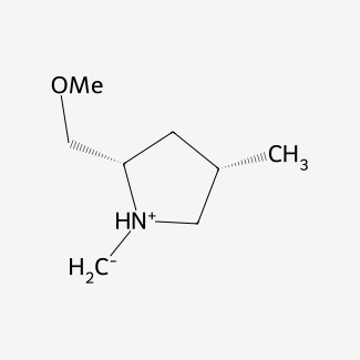 [CH2-][NH+]1C[C@@H](C)C[C@H]1COC